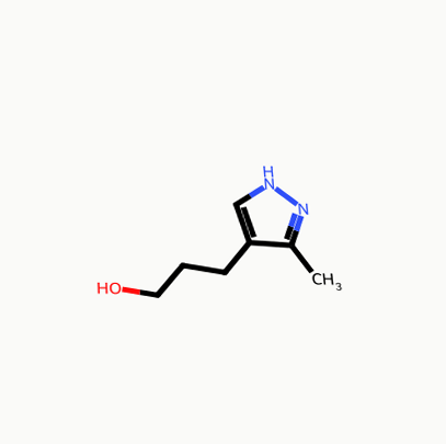 Cc1n[nH]cc1CCCO